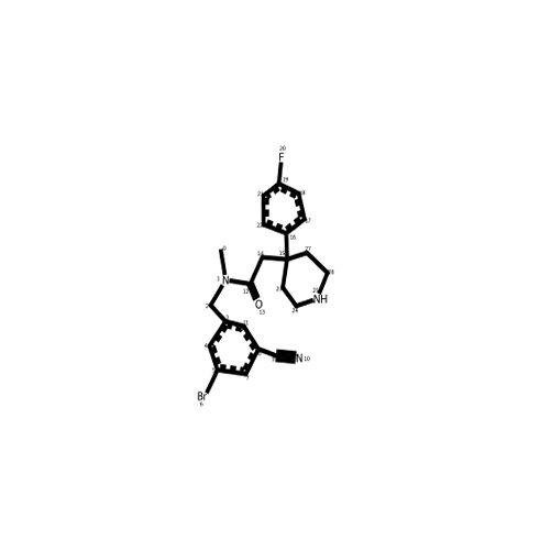 CN(Cc1cc(Br)cc(C#N)c1)C(=O)CC1(c2ccc(F)cc2)CCNCC1